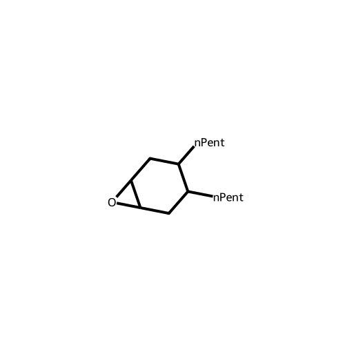 CCCCCC1CC2OC2CC1CCCCC